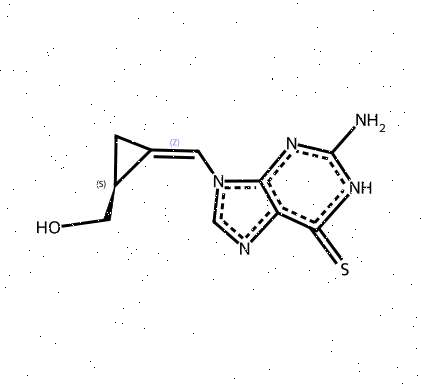 Nc1nc2c(ncn2/C=C2/C[C@@H]2CO)c(=S)[nH]1